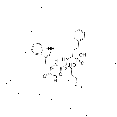 CCCC[C@H](NC(CCc1ccccc1)P(=O)(O)O)C(=O)N[C@@H](Cc1c[nH]c2ccccc12)C(=O)O